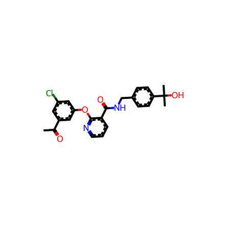 CC(=O)c1cc(Cl)cc(Oc2ncccc2C(=O)NCc2ccc(C(C)(C)O)cc2)c1